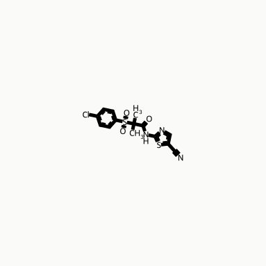 CC(C)(C(=O)Nc1ncc(C#N)s1)S(=O)(=O)c1ccc(Cl)cc1